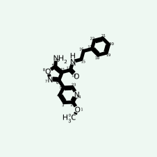 COc1ccc(-c2noc(N)c2C(=O)NCCc2ccccc2)cn1